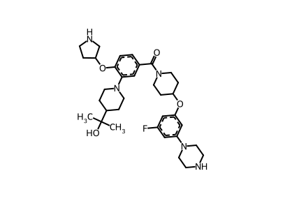 CC(C)(O)C1CCN(c2cc(C(=O)N3CCC(Oc4cc(F)cc(N5CCNCC5)c4)CC3)ccc2OC2CCNC2)CC1